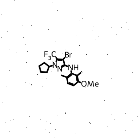 COc1ccc(C)c(Nc2nn(C3CCCC3)c(C(F)(F)F)c2Br)c1C